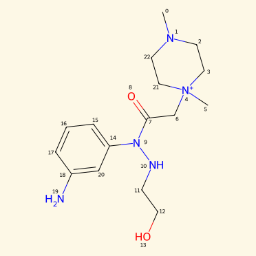 CN1CC[N+](C)(CC(=O)N(NCCO)c2cccc(N)c2)CC1